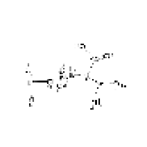 CC(C)C(N)C(=O)O.CO.ClC(Cl)Cl